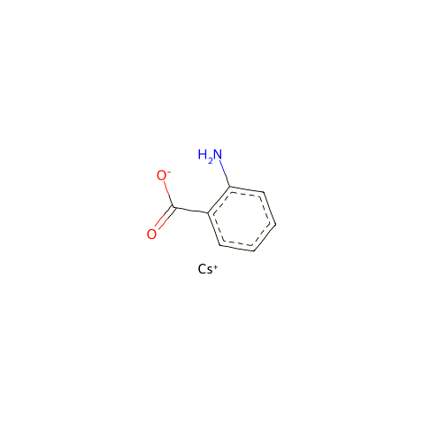 Nc1ccccc1C(=O)[O-].[Cs+]